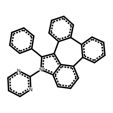 c1ccc(-c2c3c4c(cccc4n2-c2ncccn2)-c2ccccc2-c2ccccc2-3)cc1